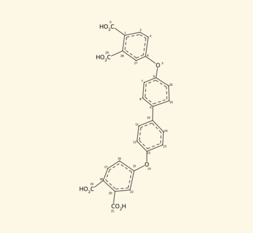 O=C(O)c1ccc(Oc2ccc(-c3ccc(Oc4ccc(C(=O)O)c(C(=O)O)c4)cc3)cc2)cc1C(=O)O